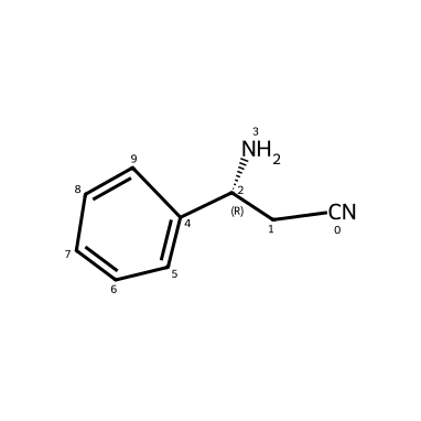 N#CC[C@@H](N)c1ccccc1